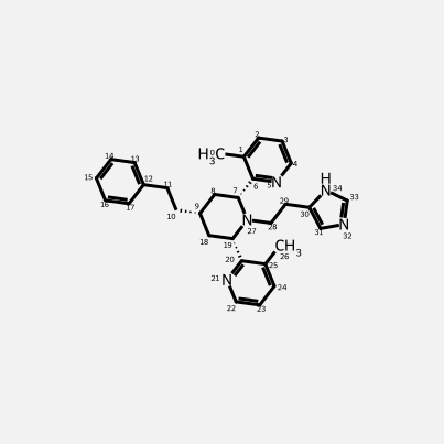 Cc1cccnc1[C@H]1C[C@@H](CCc2ccccc2)C[C@@H](c2ncccc2C)N1CCc1cnc[nH]1